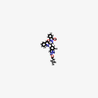 Cc1cc(C(CN2C(=O)c3ccccc3C2=O)c2ccc3ccccc3n2)cc2cn(COCC[Si](C)(C)C)nc12